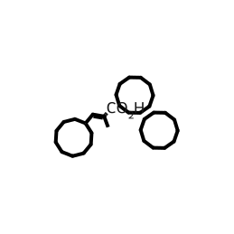 C1CCCCCCCCC1.C1CCCCCCCCC1.CC(=CC1CCCCCCCCC1)C(=O)O